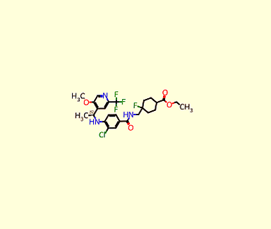 CCOC(=O)C1CCC(F)(CNC(=O)c2ccc(N[C@@H](C)c3cc(C(F)(F)F)ncc3OC)c(Cl)c2)CC1